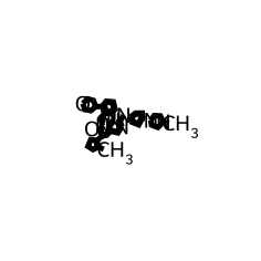 CC1=C(c2cc3cnc(Nc4ccc(N5CCN(C)CC5)cc4)nc3n(Cc3ncccc3C3CCOCC3)c2=O)CCC1